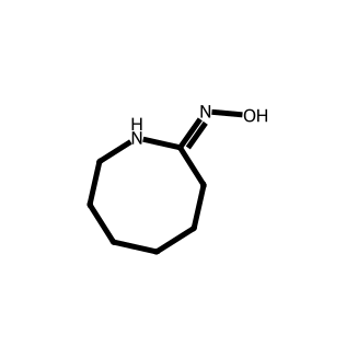 O/N=C1\CCCCCCN1